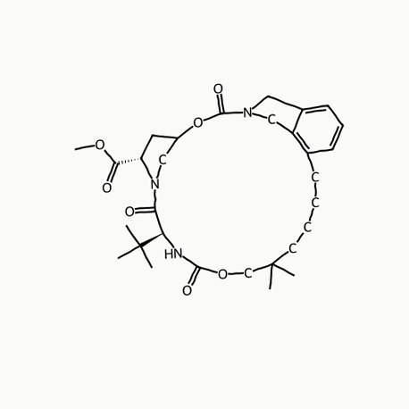 COC(=O)[C@@H]1CC2CN1C(=O)[C@H](C(C)(C)C)NC(=O)OCC(C)(C)CCCCc1cccc3c1CN(C3)C(=O)O2